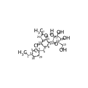 CCc1ccc(Cc2cc([C@@H]3O[C@H](CO)[C@@H](O)[C@H](O)[C@H]3O)c3c(c2Cl)CC(C)O3)cc1